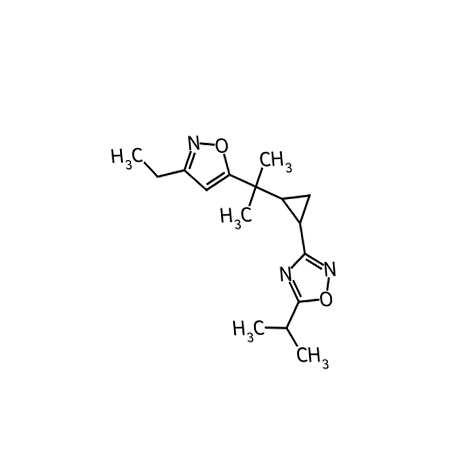 CCc1cc(C(C)(C)C2CC2c2noc(C(C)C)n2)on1